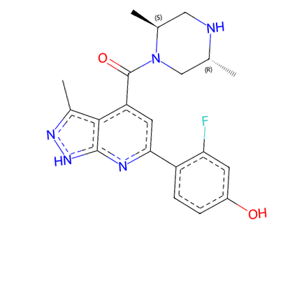 Cc1n[nH]c2nc(-c3ccc(O)cc3F)cc(C(=O)N3C[C@@H](C)NC[C@@H]3C)c12